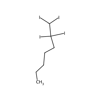 CCCCCC(I)(I)[C](I)I